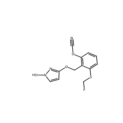 N#COc1cccc(SCF)c1COc1ccn(O)n1